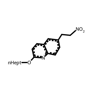 CCCCCCCOc1ccc2cc(CC[N+](=O)[O-])ccc2n1